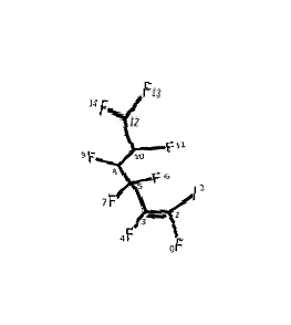 FC(I)=C(F)C(F)(F)C(F)C(F)C(F)F